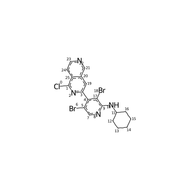 Clc1nc(-c2c(Br)cnc(NC3CCCCC3)c2Br)cc2cnccc12